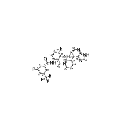 C=Cc1c(NC(=O)c2cc(F)cc(C(F)(F)F)c2)ccc(F)c1Nc1ncccc1-c1ncnc2[nH]cnc12